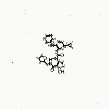 Cn1ncc(NC(=O)Oc2nc(C3CC3)cnc2Nc2cncnc2)c1C(=O)NCC1CCCO1